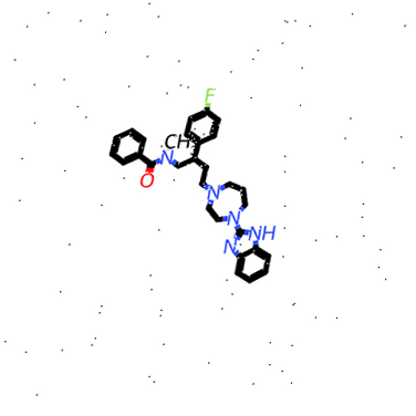 CN(CC(CCN1CCCN(c2nc3ccccc3[nH]2)CC1)c1ccc(F)cc1)C(=O)c1ccccc1